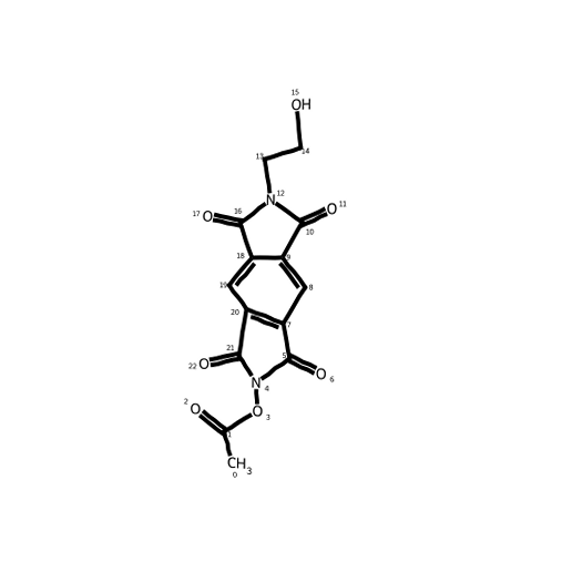 CC(=O)On1c(=O)c2cc3c(=O)n(CCO)c(=O)c3cc2c1=O